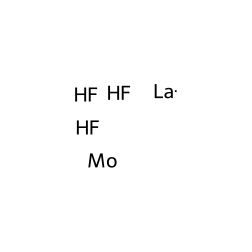 F.F.F.[La].[Mo]